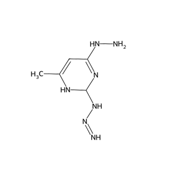 CC1=CC(NN)=NC(NN=N)N1